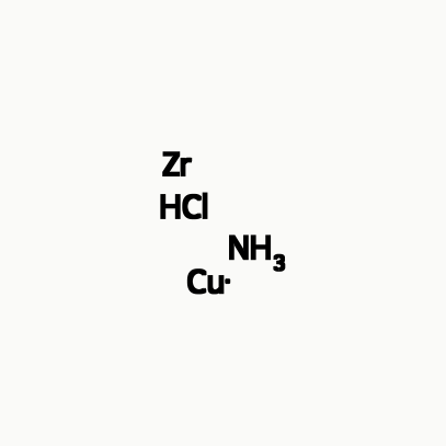 Cl.N.[Cu].[Zr]